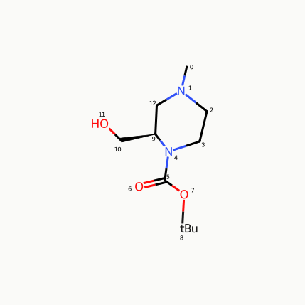 CN1CCN(C(=O)OC(C)(C)C)[C@@H](CO)C1